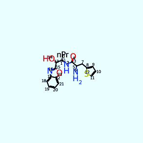 CCC[C@H](NC(=O)C(N)Cc1cccs1)C(O)c1nc2ccccc2o1